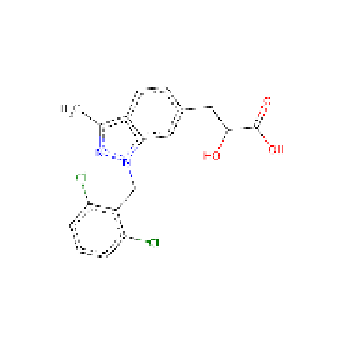 Cc1nn(Cc2c(Cl)cccc2Cl)c2cc(CC(O)C(=O)O)ccc12